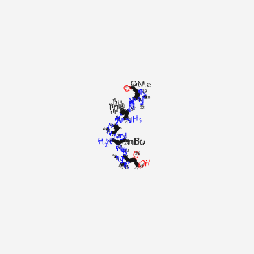 CCCCc1nn(-c2cc(-n3nc(CCCC)c(/N=N/c4c(C(=O)OC)ncn4C)c3N)ncn2)c(N)c1/N=N/c1c(C(=O)CO)ncn1C